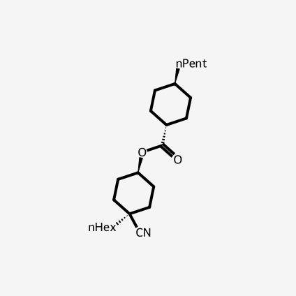 CCCCCC[C@]1(C#N)CC[C@@H](OC(=O)[C@H]2CC[C@H](CCCCC)CC2)CC1